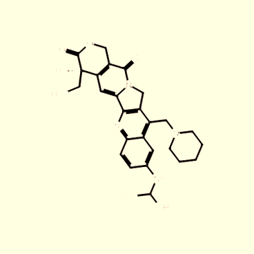 CC[C@@]1(O)C(=O)OCc2c1cc1n(c2=O)Cc2c-1nc1ccc(NC(C)C)cc1c2CN1CCCCC1